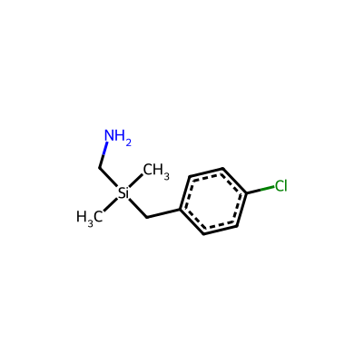 C[Si](C)(CN)Cc1ccc(Cl)cc1